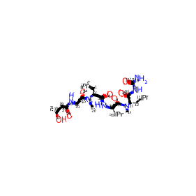 CC(C)C[C@@H](C(=O)N[C@H](C(=O)N(C)[C@@H](CC(C)C)C(=O)NC(N)=O)C(C)C)N(C)C(=O)CNC(=O)C[C@@H](C)O